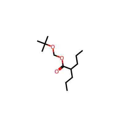 CCCC(CCC)C(=O)OCOC(C)(C)C